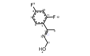 C/C(=N\CO)c1ccc(F)cc1F